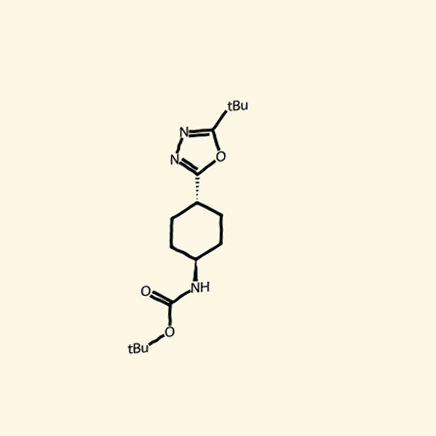 CC(C)(C)OC(=O)N[C@H]1CC[C@H](c2nnc(C(C)(C)C)o2)CC1